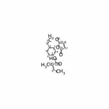 C=Cc1ccccc1.CC=C(C)C(=O)O.O=C1C=CC(=O)O1